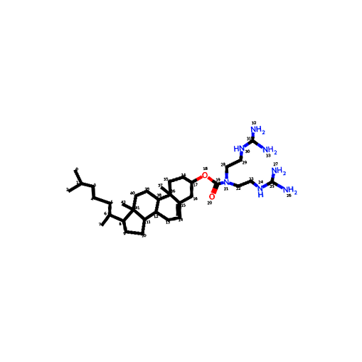 CC(C)CCCC(C)C1CCC2C3CC=C4CC(OC(=O)N(CCNC(N)N)CCNC(N)N)CCC4(C)C3CCC12C